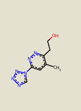 Cc1cc(-n2cnnn2)nnc1CCO